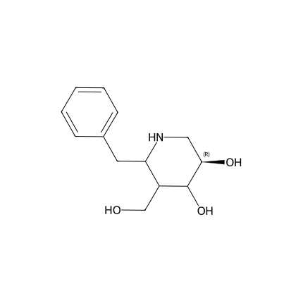 OCC1C(Cc2ccccc2)NC[C@@H](O)C1O